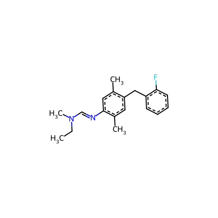 CCN(C)C=Nc1cc(C)c(Cc2ccccc2F)cc1C